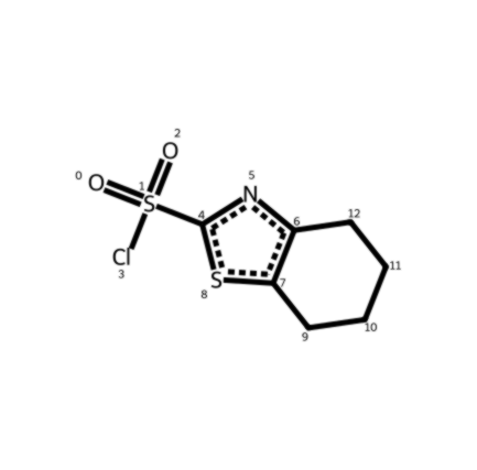 O=S(=O)(Cl)c1nc2c(s1)CCCC2